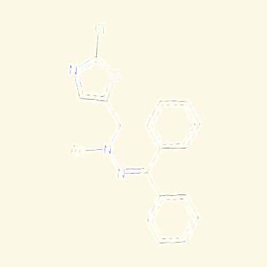 CC(=O)N(Cc1cnc(Cl)s1)N=C(c1ccccc1)c1ccccc1